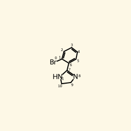 Brc1ccccc1C1=NCCN1